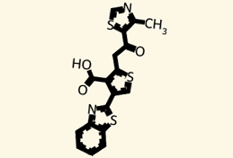 Cc1ncsc1C(=O)Cc1scc(-c2nc3ccccc3s2)c1C(=O)O